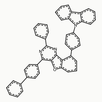 c1ccc(-c2ccc(-c3nc(-c4ccccc4)nc4c3oc3cccc(-c5ccc(-n6c7ccccc7c7ccccc76)cc5)c34)cc2)cc1